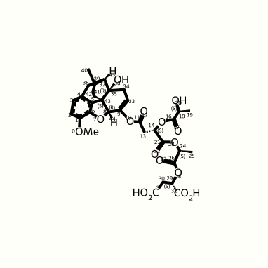 COc1ccc2c3c1O[C@H]1C(OC(=O)C[C@H](OC(=O)[C@H](C)O)C(=O)O[C@@H](C)C(=O)O[C@@H](CC(=O)O)C(=O)O)=CC[C@@]4(O)[C@@H](C2)C(C)CC[C@]314